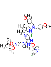 COc1ccc(CN(Cc2ccc(OC)cc2)c2cc(C)c(C)c(-c3ncc4c(N(C)CC5CN(C(=O)OC(C)(C)C)C5)nc(OC[C@@]56CCCN5C[C@H](F)C6)nc4c3F)n2)cc1